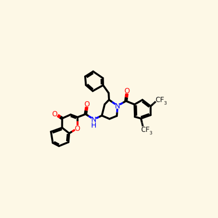 O=C(NC1CCN(C(=O)c2cc(C(F)(F)F)cc(C(F)(F)F)c2)C(Cc2ccccc2)C1)c1cc(=O)c2ccccc2o1